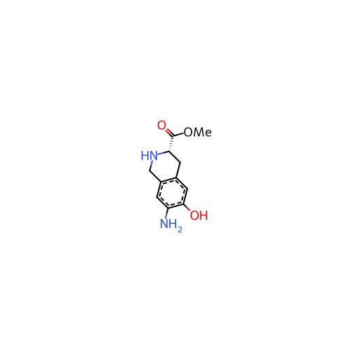 COC(=O)[C@@H]1Cc2cc(O)c(N)cc2CN1